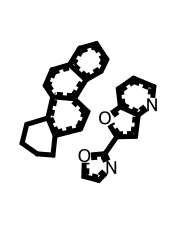 c1ccc2c(c1)ccc1c3c(ccc12)CCCC3.c1cnc2cc(-c3ncco3)oc2c1